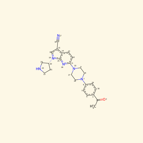 CC(=O)c1ccc(N2CCN(c3ccc4c(C#N)cn([C@@H]5CCNC5)c4n3)CC2)cc1